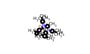 Cc1cc2c3c(c1)N(c1ccc(C(C)(C)C)cc1)c1oc4cc5c(cc4c1B3c1cc3c(cc1N2c1ccc(C(C)(C)C)cc1)C(C)(C)CCC3(C)C)C1(C)CCC5(C)C1